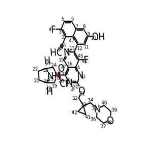 C#Cc1c(F)ccc2cc(O)cc(-c3ncc4c(N5C[C@H]6CC[C@@H](C5)N6C(=O)C(F)(F)F)nc(OCC5(CN6CCOCC6)CC5)nc4c3F)c12